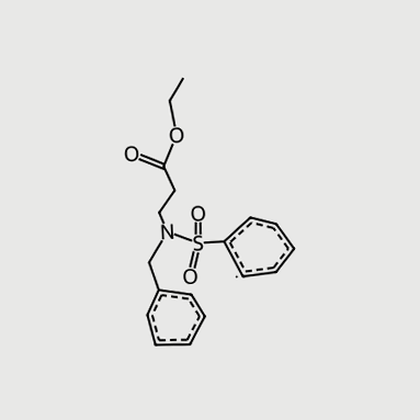 CCOC(=O)CCN(Cc1ccccc1)S(=O)(=O)c1[c]cccc1